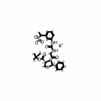 CC(c1cccc(NC(=O)NCC(=O)N2[C@@H](c3ccccc3)SC[C@H]2C(=O)OC(C)(C)C)c1)S(=O)(=O)[O-].[K+]